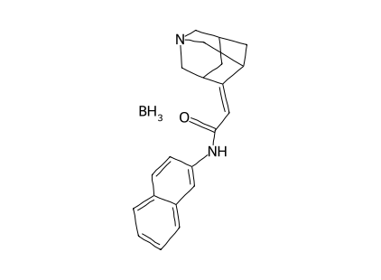 B.O=C(C=C1C2CC3CC1CN(C3)C2)Nc1ccc2ccccc2c1